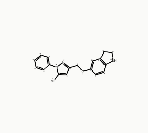 N#Cc1cc(COc2ccc3c(c2)CCN3)nn1-c1ccccc1